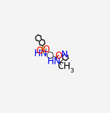 C[C@@H](NC(=O)C1CCC(NS(=O)(=O)c2ccc3ccccc3c2)CC1)c1cccnc1